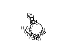 COc1ccc2nc3c(nc2c1)O[C@H]1CN(C(=O)[C@H](C(C)(C)C)NC(=O)O[C@@H]2CC4CC(C4)[C@H]2CCCCC3)[C@H](C(C)=O)[C@@H]1C